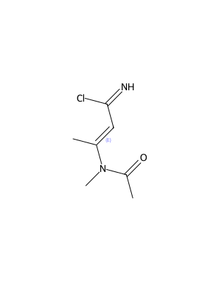 CC(=O)N(C)/C(C)=C/C(=N)Cl